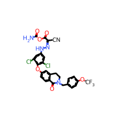 N#CC(=NNc1cc(Cl)c(Oc2ccc3c(c2)CCN(Cc2ccc(OC(F)(F)F)cc2)C3=O)c(Cl)c1)C(=O)OC(N)=O